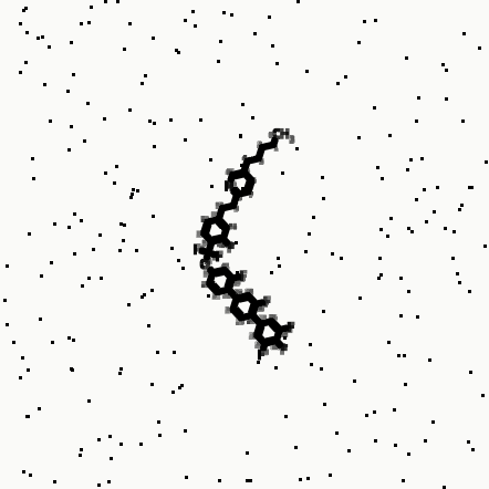 CCCCCc1ccc(CCc2ccc(C(F)(F)Oc3ccc(-c4ccc(-c5cc(F)c(F)c(F)c5)c(F)c4)c(F)c3)c(F)c2)nc1